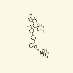 CC(C)c1c(-c2ccnc3[nH]ncc23)[nH]c2ccc(C3CCN(Cc4ccccc4OCCCN(C)C)CC3)cc12